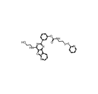 O=C(NCCSSc1ccccn1)Oc1cccc(-c2nc(NCCO)c3oc4ncccc4c3n2)c1